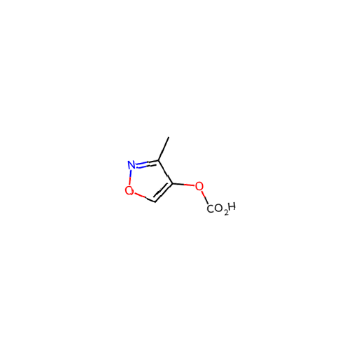 Cc1nocc1OC(=O)O